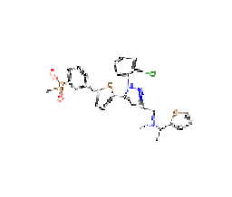 CC(c1cccs1)N(C)Cc1cc(-c2ccc(-c3cccc(S(C)(=O)=O)c3)s2)n(-c2ccccc2Cl)n1